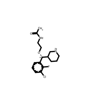 CC(=O)NCCO[C@@H](c1cccc(Cl)c1F)C1CCCNC1